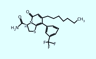 CCCCCCCc1cc(=O)n2c(c1-c1cccc(C(F)(F)F)c1)SC[C@H]2C(N)=O